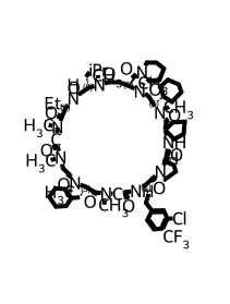 CC[C@@H]1NC(=O)[C@H](CC(C)C)N(C)C(=O)C[C@@H](C(=O)N2CCCCC2)N(C)C(=O)[C@H](C2CCCCC2)N(C)C(=O)C2(CCCC2)NC(=O)[C@@H]2CCCN2C(=O)[C@H](CCc2ccc(C(F)(F)F)c(Cl)c2)NC(=O)CN(C)C(=O)[C@H](CC2CCCCC2)N(C)C(=O)CN(C)C(=O)CN(C)C1=O